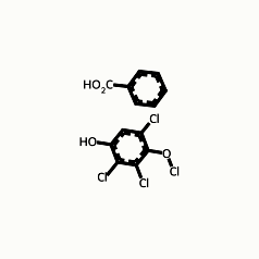 O=C(O)c1ccccc1.Oc1cc(Cl)c(OCl)c(Cl)c1Cl